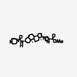 COC(=O)c1cn(C2=CCC3C4CC=C5C[C@@H](NC(=O)N6C=CN=CC6)CC[C@]5(C)C4CC[C@]23C)cn1